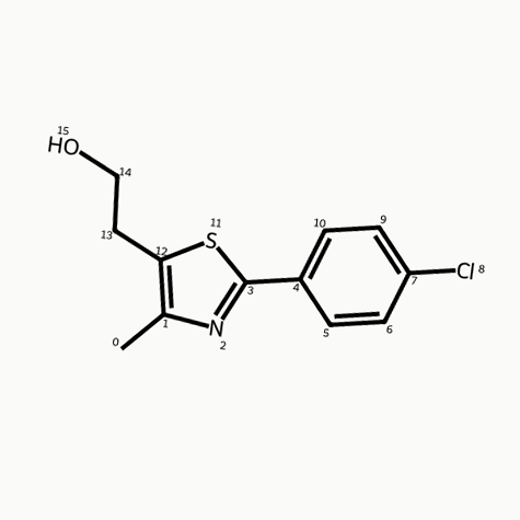 Cc1nc(-c2ccc(Cl)cc2)sc1CCO